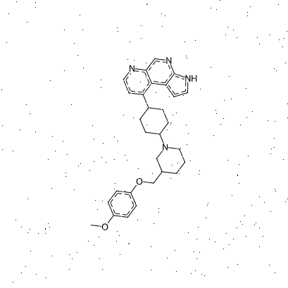 COc1ccc(OCC2CCCN(C3[CH]CC(c4ccnc5cnc6[nH]ccc6c45)CC3)C2)cc1